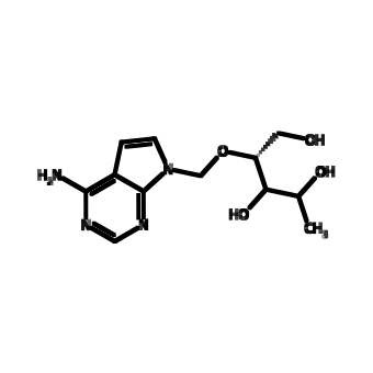 CC(O)C(O)[C@@H](CO)OCn1ccc2c(N)ncnc21